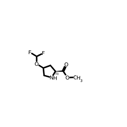 COC(=O)[C@@H]1CC(OC(F)F)CN1